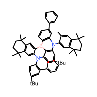 Cc1cc2c(cc1N1c3cc(-c4ccccc4)ccc3B3c4cc5c(cc4N(c4ccc(C(C)(C)C)cc4-c4ccccc4)c4cc(C(C)(C)C)cc1c43)C(C)(C)CCC5(C)C)C(C)(C)CCC2(C)C